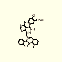 COc1cc(C(=N)c2c(N)ncnc2NCc2cc3cccc(C)c3c(=O)n2-c2ccccc2C)ccc1Cl